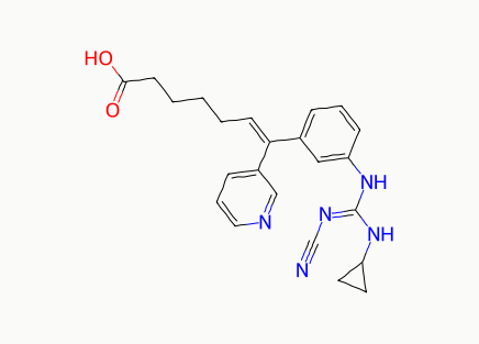 N#CN=C(Nc1cccc(C(=CCCCCC(=O)O)c2cccnc2)c1)NC1CC1